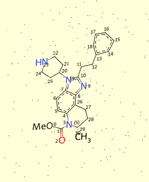 COC(=O)N1c2ccc3c(nc(CCc4ccccc4)n3C3CCNCC3)c2CC[C@@H]1C